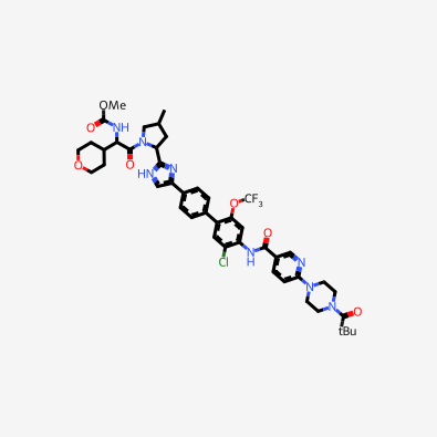 COC(=O)NC(C(=O)N1CC(C)CC1c1nc(-c2ccc(-c3cc(Cl)c(NC(=O)c4ccc(N5CCN(C(=O)C(C)(C)C)CC5)nc4)cc3OC(F)(F)F)cc2)c[nH]1)C1CCOCC1